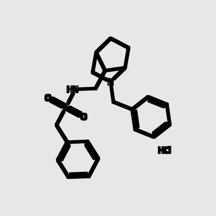 Cl.O=S(=O)(Cc1ccccc1)NCC1C2CCC1N(Cc1ccccc1)C2